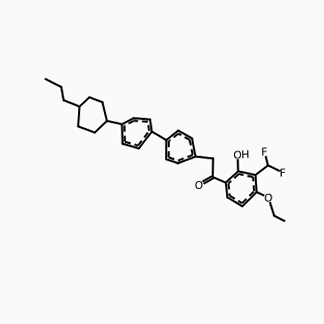 CCCC1CCC(c2ccc(-c3ccc(CC(=O)c4ccc(OCC)c(C(F)F)c4O)cc3)cc2)CC1